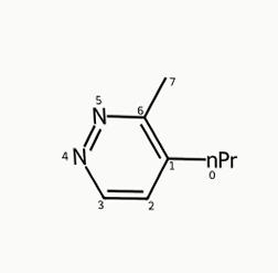 CCCc1ccnnc1C